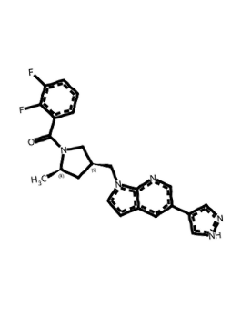 C[C@@H]1C[C@H](Cn2ccc3cc(-c4cn[nH]c4)cnc32)CN1C(=O)c1cccc(F)c1F